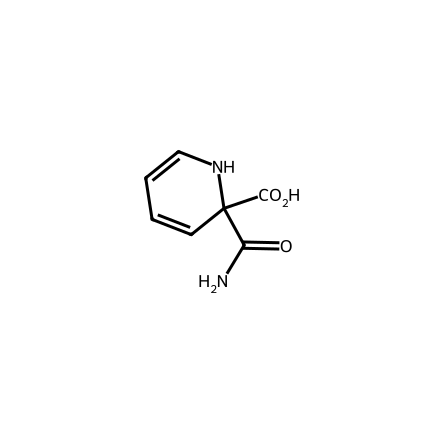 NC(=O)C1(C(=O)O)C=CC=CN1